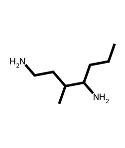 CCCC(N)C(C)CCN